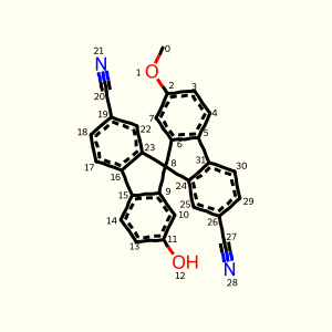 COc1ccc2c(c1)C1(c3cc(O)ccc3-c3ccc(C#N)cc31)c1cc(C#N)ccc1-2